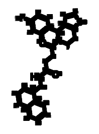 O=C(CCC(=O)N1CCc2sccc2C1c1ccc(F)cc1)NCc1cccc2ccccc12